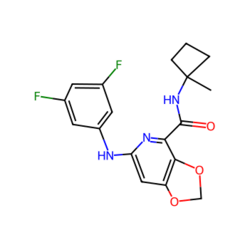 CC1(NC(=O)c2nc(Nc3cc(F)cc(F)c3)cc3c2OCO3)CCC1